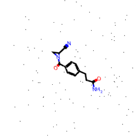 N#CC1CN1C(=O)c1ccc(CCC(N)=O)cc1